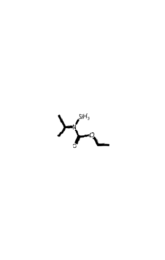 CCOC(=O)N([SiH3])C(C)C